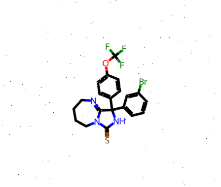 FC(F)(F)Oc1ccc(C2(c3cccc(Br)c3)NC(=S)N3CCCCN=C32)cc1